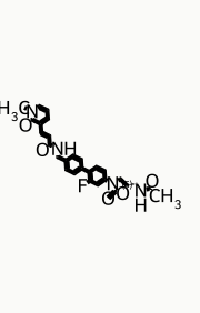 CC(=O)NC[C@H]1CN(c2ccc(-c3ccc(CNC(=O)C=Cc4cccn(C)c4=O)cc3)c(F)c2)C(=O)O1